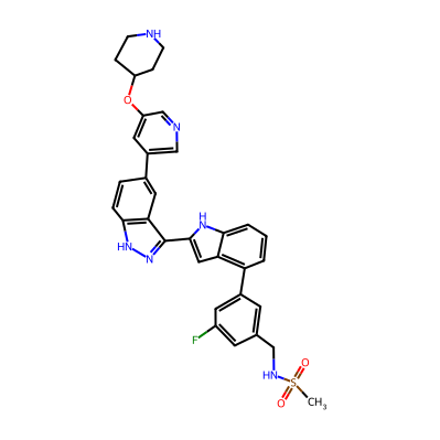 CS(=O)(=O)NCc1cc(F)cc(-c2cccc3[nH]c(-c4n[nH]c5ccc(-c6cncc(OC7CCNCC7)c6)cc45)cc23)c1